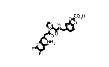 NC(CC(=O)N1CCSC1C(=O)NCc1ccc2c(c1)OC(C(=O)O)O2)Cc1cc(F)c(F)cc1F